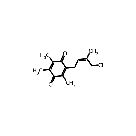 CC(=CCC1=C(C)C(=O)C(C)=C(C)C1=O)CCl